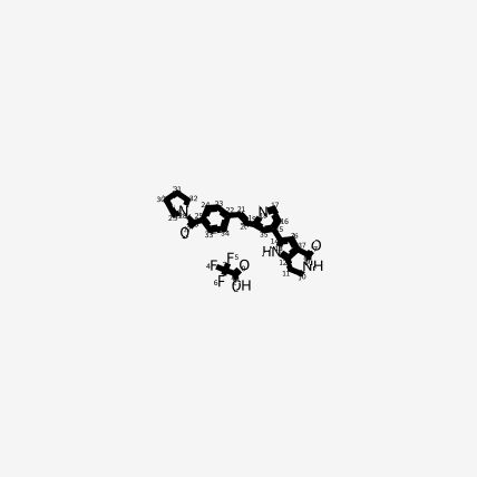 O=C(O)C(F)(F)F.O=C1NCCc2[nH]c(-c3ccnc(C=Cc4ccc(C(=O)N5CCCC5)cc4)c3)cc21